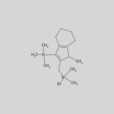 CC[Si](C)(C)CC1=[C]([Ti]([CH3])([CH3])[CH3])C2=C(CCCC2)C1C